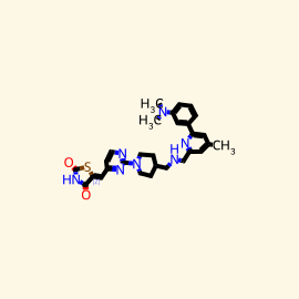 Cc1cc(CNCC2CCN(c3nccc(/C=C4\SC(=O)NC4=O)n3)CC2)nc(-c2cccc(N(C)C)c2)c1